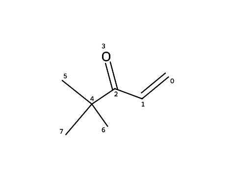 C=CC(=O)C(C)(C)C